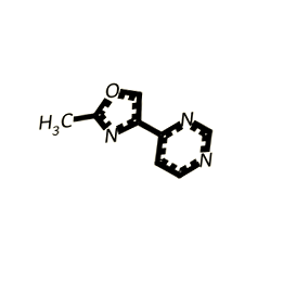 Cc1nc(-c2ccncn2)co1